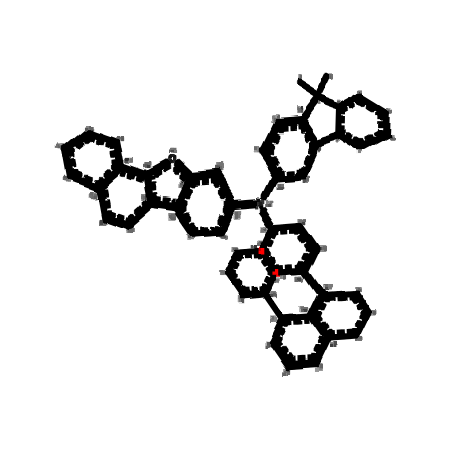 CC1(C)c2ccccc2-c2cc(N(c3ccc(-c4cccc5cccc(-c6ccccc6)c45)cc3)c3ccc4c(c3)oc3c5ccccc5ccc43)ccc21